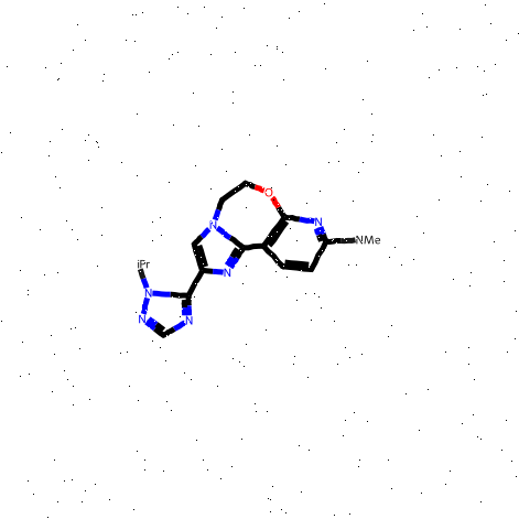 CNc1ccc2c(n1)OCCn1cc(-c3ncnn3C(C)C)nc1-2